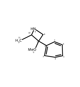 COC1(c2ccccc2)CNC1C